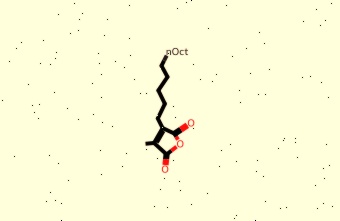 CCCCCCCCCCCCCC1=C(C)C(=O)OC1=O